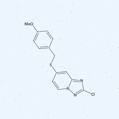 COc1ccc(CSc2ccn3nc(Cl)nc3c2)cc1